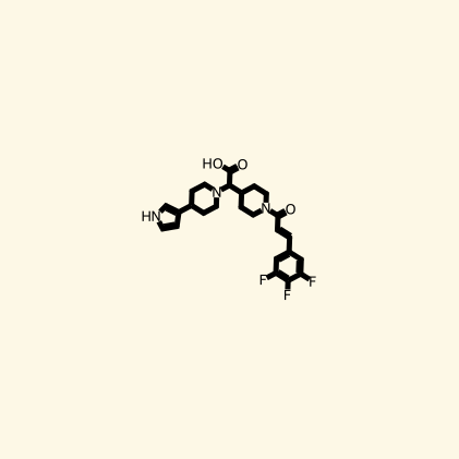 O=C(O)C(C1CCN(C(=O)C=Cc2cc(F)c(F)c(F)c2)CC1)N1CCC(c2cc[nH]c2)CC1